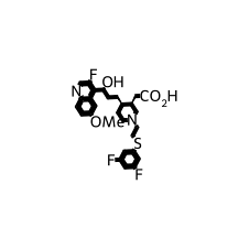 COc1ccc2ncc(F)c([C@@H](O)CC[C@@H]3CCN(CCSc4cc(F)cc(F)c4)C[C@@H]3CC(=O)O)c2c1